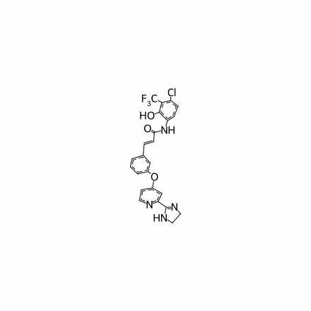 O=C(/C=C/c1cccc(Oc2ccnc(C3=NCCN3)c2)c1)Nc1ccc(Cl)c(C(F)(F)F)c1O